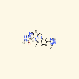 CC/C1=N\N(C)[C@H](C(=O)NC)CN([C@H](C)c2ccc(-c3nnnn3C)cc2)N[C@H](C)C1